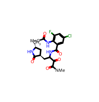 CNC(=O)C(=O)C(C[C@@H]1C[C@@H](C)NC1=O)NC(=O)c1cc(Cl)cc(F)c1NC(=O)OC